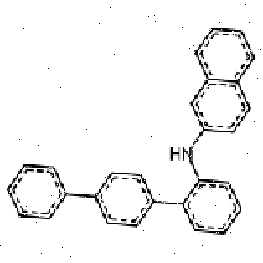 c1ccc(-c2ccc(-c3ccccc3Nc3ccc4ccccc4c3)cc2)cc1